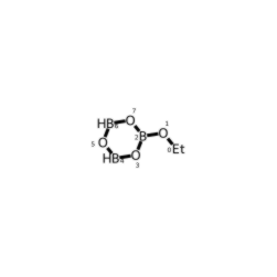 CCOB1OBOBO1